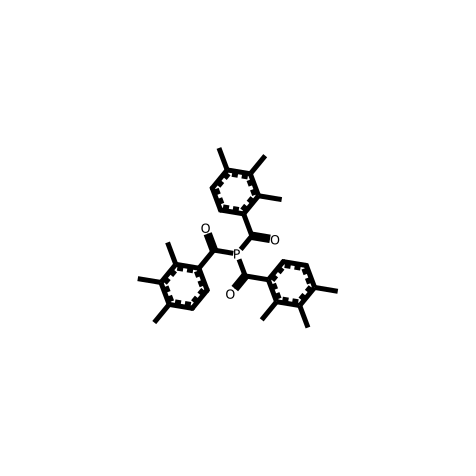 Cc1ccc(C(=O)P(C(=O)c2ccc(C)c(C)c2C)C(=O)c2ccc(C)c(C)c2C)c(C)c1C